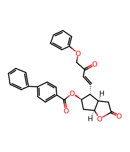 O=C(/C=C/[C@@H]1[C@H]2CC(=O)O[C@H]2C[C@H]1OC(=O)c1ccc(-c2ccccc2)cc1)COc1ccccc1